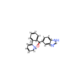 O=C(c1ccc2[nH]cnc2c1)c1ccccc1-c1ccccn1